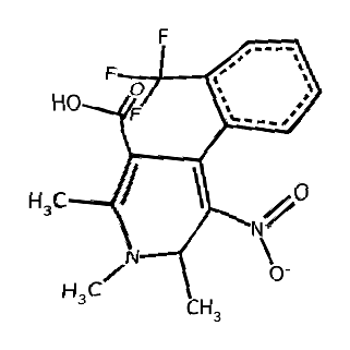 CC1=C(C(=O)O)C(c2ccccc2C(F)(F)F)=C([N+](=O)[O-])C(C)N1C